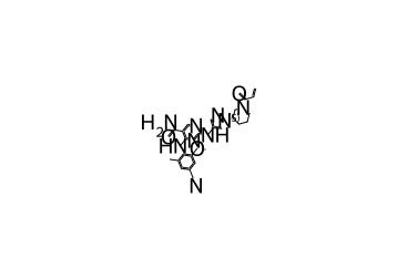 C=CC(=O)N1CCC[C@H](n2cc(Nc3ncc(C(N)=O)c(Nc4c(C)cc(C#N)cc4OC)n3)cn2)C1